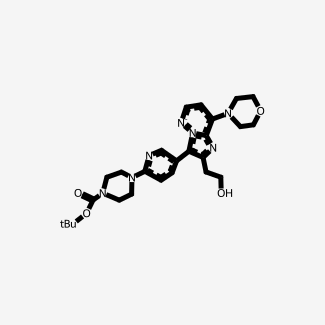 CC(C)(C)OC(=O)N1CCN(c2ccc(-c3c(CCO)nc4c(N5CCOCC5)ccnn34)cn2)CC1